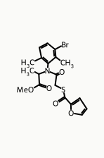 COC(=O)C(C)N(C(=O)CSC(=O)c1ccco1)c1c(C)ccc(Br)c1C